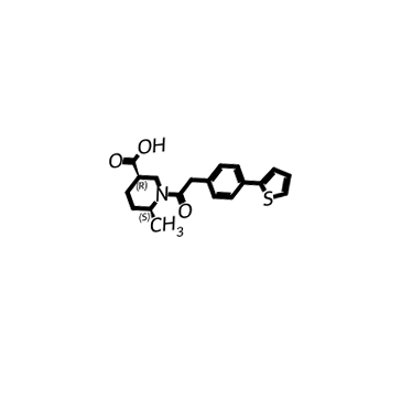 C[C@H]1CC[C@@H](C(=O)O)CN1C(=O)Cc1ccc(-c2cccs2)cc1